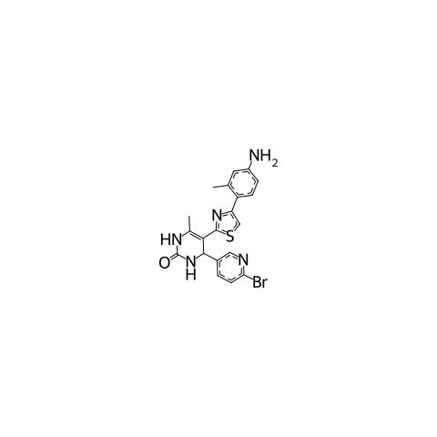 CC1=C(c2nc(-c3ccc(N)cc3C)cs2)C(c2ccc(Br)nc2)NC(=O)N1